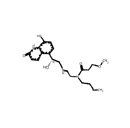 CCCCN(CCNC[C@H](O)c1ccc(O)c2[nH]c(=O)ccc12)C(=O)CCOC